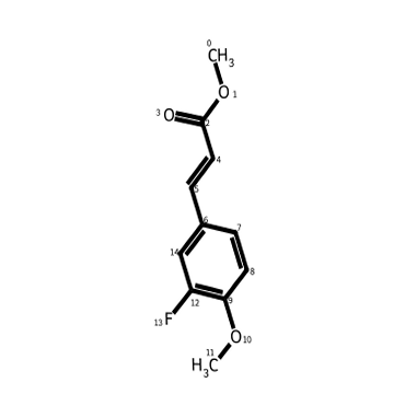 COC(=O)/C=C/c1ccc(OC)c(F)c1